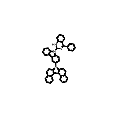 c1ccc(C2=NC(n3c4ccccc4c4cc(-n5c6ccc7ccccc7c6c6c7ccccc7ccc65)ccc43)Nc3ccccc32)cc1